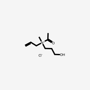 C=CC[N+](C)(CCCO)C(C)=O.[Cl-]